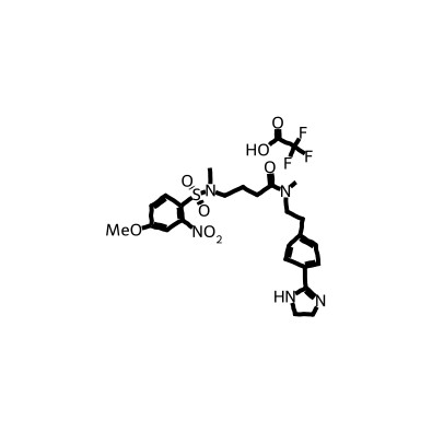 COc1ccc(S(=O)(=O)N(C)CCCC(=O)N(C)CCc2ccc(C3=NCCN3)cc2)c([N+](=O)[O-])c1.O=C(O)C(F)(F)F